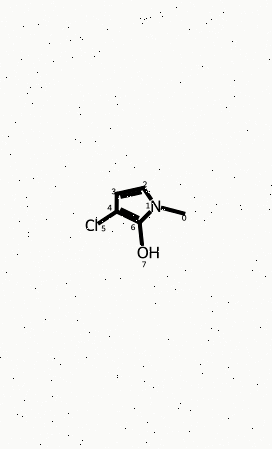 Cn1ccc(Cl)c1O